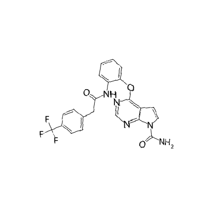 NC(=O)n1ccc2c(Oc3ccccc3NC(=O)Cc3ccc(C(F)(F)F)cc3)ncnc21